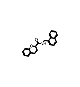 O=C(NCc1cccc2ccccc12)C1CCc2ccccc2O1